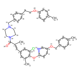 C/C(=C\c1cc(C)c(Oc2ccc(OCc3ccc(C)cc3)cn2)c(Cl)c1)C(=O)N1CCN(Cc2ccc(CCOc3ccc(C)cc3)cc2)CC1